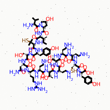 CC[C@H](C)[C@H](NC(=O)[C@@H]1C[C@@H](O)CN1C(=O)[C@@H](N)C(C)C)C(=O)N[C@H](C(=O)N[C@@H](Cc1ccc(O)cc1)C(=O)N[C@@H](CO)C(=O)N[C@@H](CC(N)=O)C(=O)N[C@@H](CCCNC(=N)N)C(=O)N[C@@H](CCN)C(=O)N[C@H](C(=O)N[C@H](CCN)C(=O)N[C@H](C(=O)N[C@@H](CCN)C(=O)N[C@@H](CCN)C(=O)N[C@@H](CS)C(=O)N[C@@H](Cc1ccc(O)cc1)C(=O)O)[C@@H](C)O)[C@@H](C)O)C(C)(C)S